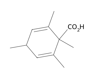 CC1=CC(C)C=C(C)C1(C)C(=O)O